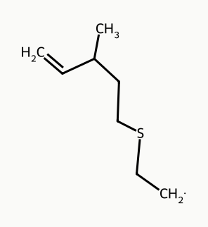 [CH2]CSCCC(C)C=C